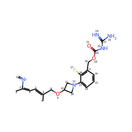 C=N/C(C)=C\C=C(/C)COC1CN(c2cccc(COC(=O)NC(=N)N)c2F)C1